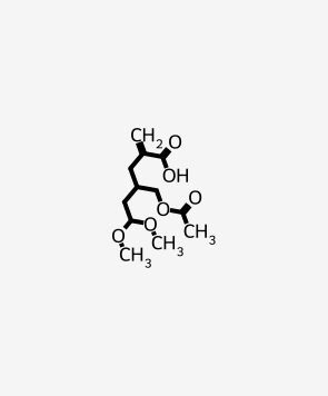 C=C(CC(COC(C)=O)CC(OC)OC)C(=O)O